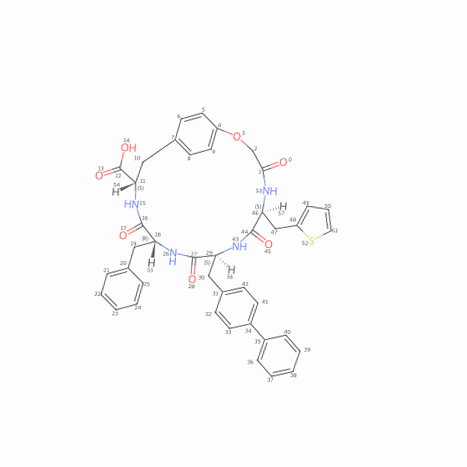 O=C1COc2ccc(cc2)C[C@@H](C(=O)O)NC(=O)[C@@H](Cc2ccccc2)NC(=O)[C@H](Cc2ccc(-c3ccccc3)cc2)NC(=O)[C@H](Cc2cccs2)N1